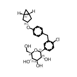 OC[C@H]1O[C@@H](c2ccc(Cl)c(Cc3ccc(O[C@@H]4C[C@@H]5C[C@@H]5C4)cc3)c2)[C@H](O)[C@@H](O)[C@@H]1O